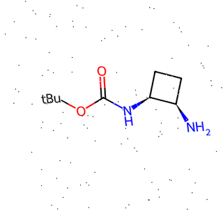 CC(C)(C)OC(=O)N[C@H]1CC[C@H]1N